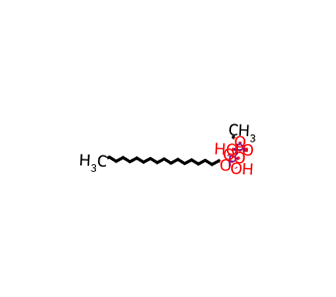 CCCCCCCCCCCCCCCCCCOP(=O)(O)OP(=O)(O)OCC